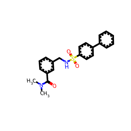 CN(C)C(=O)c1cccc(CNS(=O)(=O)c2ccc(-c3ccccc3)cc2)c1